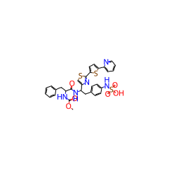 COC(=O)NC(Cc1ccccc1)C(=O)NC(Cc1ccc(NS(=O)(=O)O)cc1)c1csc(-c2ccc(-c3ccccn3)s2)n1